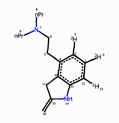 [2H]c1c([2H])c(CCN(CCC)CCC)c2c(c1[2H])NC(=C)C2